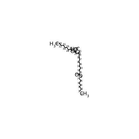 CCCCCCCCOC(=O)CCCCCCCCCC(CC)CC(=O)OCCCCCCCC